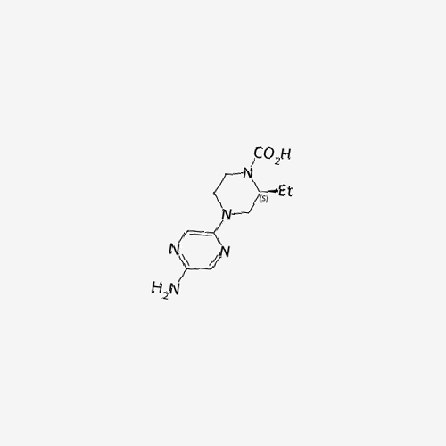 CC[C@H]1CN(c2cnc(N)cn2)CCN1C(=O)O